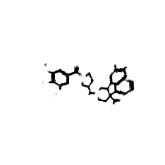 COc1cc(C(=O)N2CCC(C(C)N3CCC(C(N)=O)(c4cccnc4)C(c4ccc(Cl)c(Cl)c4)C3)C2)cc(OC)c1OC